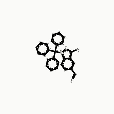 O=Cc1ccc2c(c1)c(Br)nn2C(c1ccccc1)(c1ccccc1)c1ccccc1